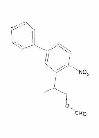 CC(CO[C]=O)c1cc(-c2ccccc2)ccc1[N+](=O)[O-]